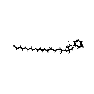 CCCCCCCCCCCCCCCCCC(=O)OCC1(C)CN(c2ccccc2)NC1=O